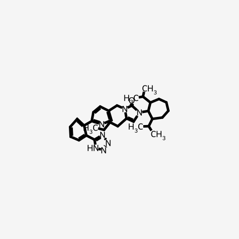 CCCCc1cn(C2C(C(C)C)CCCCC2C(C)C)c(=O)n1Cc1ccc(-c2ccccc2-c2nnn[nH]2)nc1